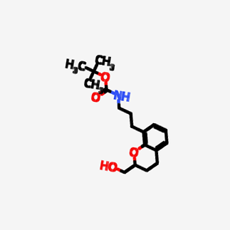 CC(C)(C)OC(=O)NCCCc1cccc2c1OC(CO)CC2